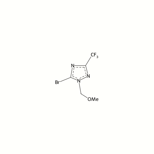 COCn1nc(C(F)(F)F)nc1Br